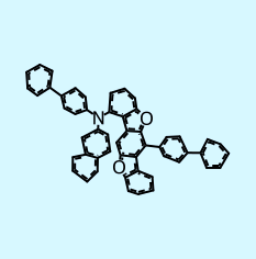 c1ccc(-c2ccc(-c3c4oc5cccc(N(c6ccc(-c7ccccc7)cc6)c6ccc7ccccc7c6)c5c4cc4oc5ccccc5c34)cc2)cc1